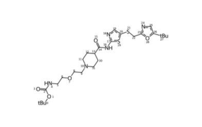 CC(C)(C)OC(=O)NCCOCCN1CCC(C(=O)Nc2ncc(SCc3ncc(C(C)(C)C)o3)s2)CC1